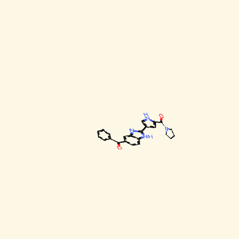 O=C(c1ccccc1)c1ccc2[nH]c(-c3c[nH]c(C(=O)N4CCCC4)c3)nc2c1